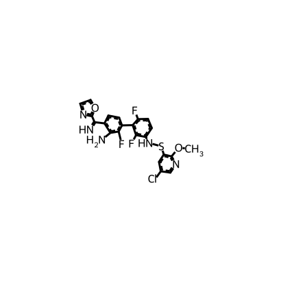 COc1ncc(Cl)cc1SNc1ccc(F)c(-c2ccc(C(=N)c3ncco3)c(N)c2F)c1F